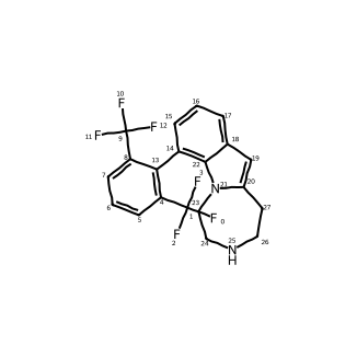 FC(F)(F)c1cccc(C(F)(F)F)c1-c1cccc2cc3n(c12)CCNCC3